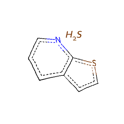 S.c1cnc2sccc2c1